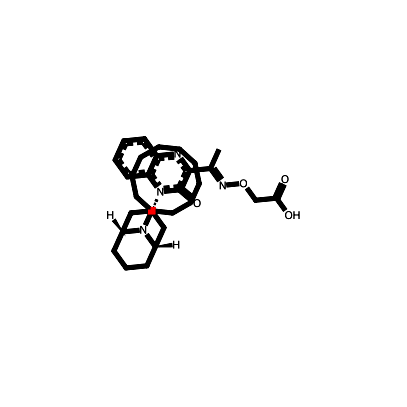 C/C(=N\OCC(=O)O)c1nc2ccccc2n([C@H]2C[C@H]3CCC[C@@H](C2)N3C2CCCCCCCCC2)c1=O